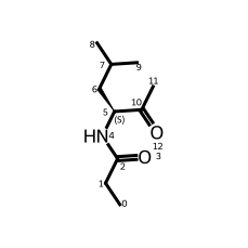 CCC(=O)N[C@@H](CC(C)C)C(C)=O